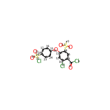 CS(=O)(=O)c1cc(C(=O)Cl)c(Cl)cc1Oc1ccc(S(=O)(=O)Cl)cc1